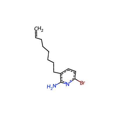 C=CCCCCCCc1ccc(Br)nc1N